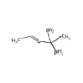 BC(B)(C)C=CC